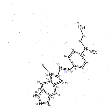 CCN(CCO)c1ccc(/N=N/c2sc3cc4cn[nH]c4cc3[n+]2C)cc1